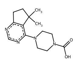 CC1(C)CCc2ncnc(N3CCN(C(=O)O)CC3)c21